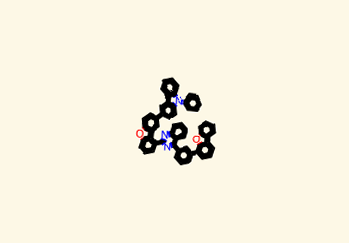 c1ccc(-n2c3ccccc3c3cc(-c4ccc5oc6cccc(-c7nc(-c8cccc(-c9cccc%10c9oc9ccccc9%10)c8)c8ccccc8n7)c6c5c4)ccc32)cc1